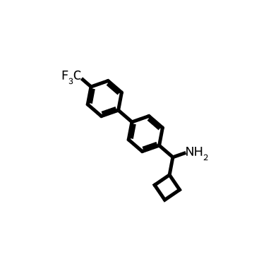 NC(c1ccc(-c2ccc(C(F)(F)F)cc2)cc1)C1CCC1